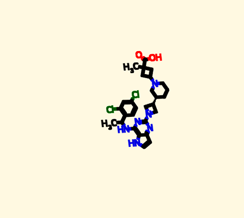 CC(Nc1nc(N2CC([C@H]3CCCN(C4CC(C)(C(=O)O)C4)C3)C2)nc2cc[nH]c12)c1ccc(Cl)cc1Cl